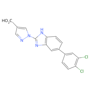 O=C(O)c1cnn(-c2nc3cc(-c4ccc(Cl)c(Cl)c4)ccc3[nH]2)c1